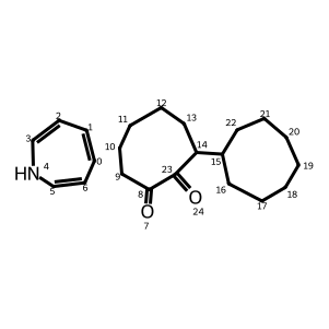 C1=CC=CNC=C1.O=C1CCCCCC(C2CCCCCCC2)C1=O